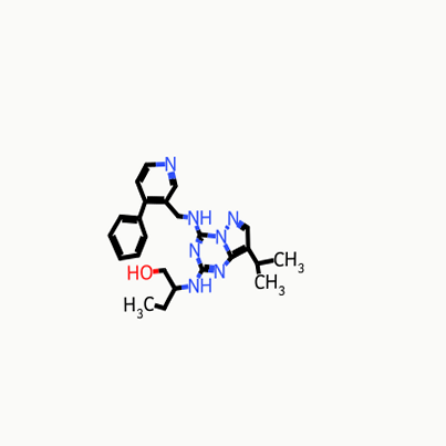 CCC(CO)Nc1nc(NCc2cnccc2-c2ccccc2)n2ncc(C(C)C)c2n1